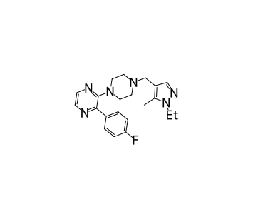 CCn1ncc(CN2CCN(c3nccnc3-c3ccc(F)cc3)CC2)c1C